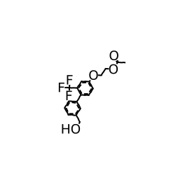 CC(=O)OCCOc1ccc(-c2cccc(CO)c2)c(C(F)(F)F)c1